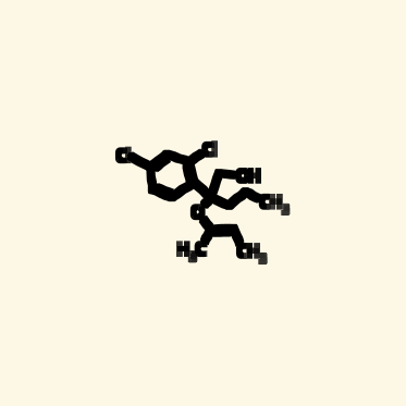 CC=C(C)OC(CO)(CCC)c1ccc(Cl)cc1Cl